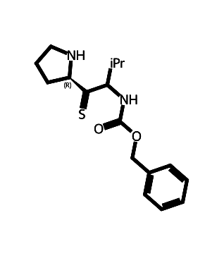 CC(C)C(NC(=O)OCc1ccccc1)C(=S)[C@H]1CCCN1